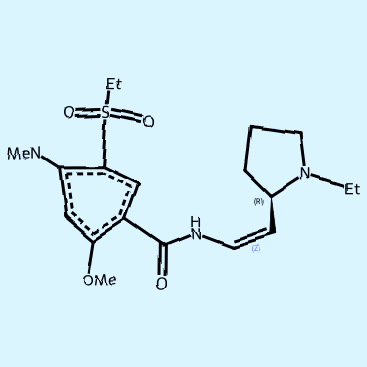 CCN1CCC[C@@H]1/C=C\NC(=O)c1cc(S(=O)(=O)CC)c(NC)cc1OC